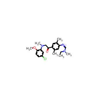 CCN(C)/C=N\c1cc(C)c(C(=O)CN(C)c2cc(Cl)ccc2OC)cc1C